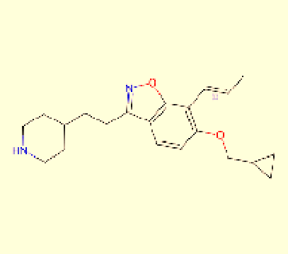 C/C=C/c1c(OCC2CC2)ccc2c(CCC3CCNCC3)noc12